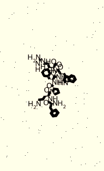 N=C(N)NCCC[C@H](NC(=O)[C@H](Cc1c[nH]c2ccccc12)NC(=O)[C@@H](CC1CCCCC1)NC(=O)[C@@H]1CCCN1C(=O)[C@H](CCCN)NC(=O)[C@@H](N)Cc1ccccc1)C(=O)O